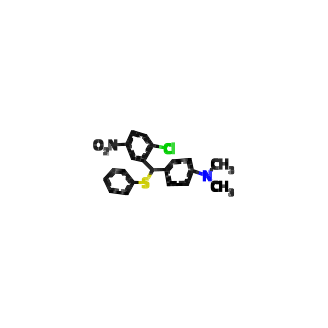 CN(C)c1ccc(C(Sc2ccccc2)c2cc([N+](=O)[O-])ccc2Cl)cc1